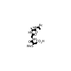 CSC(CC(=O)O)C(=O)NCC(=O)N[C@@H](C)C(=O)N[C@@H](C)C(C)=O